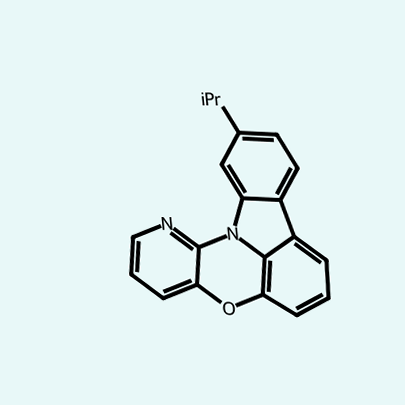 CC(C)c1ccc2c3cccc4c3n(c2c1)-c1ncccc1O4